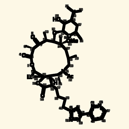 CC[C@H]1OC(=O)[C@H](C)C(=O)[C@@H](C)[C@@H](O[C@@H]2OC(C)CC(N(C)C)C2O)[C@](C)(OC)C[C@@H](C)CN(C(C)=O)[C@H](C)[C@H]2N(CCCCn3cc(-c4cccnn4)nn3)C(=O)O[C@]12C